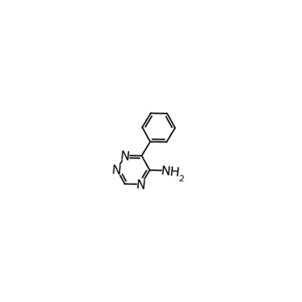 Nc1ncnnc1-c1ccccc1